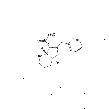 O=CC(=O)C1[C@H]2NCCC[C@@H]2CN1Cc1ccccc1